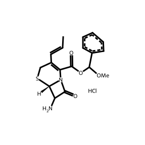 CC=CC1=C(C(=O)OC(OC)c2ccccc2)N2C(=O)C(N)[C@@H]2SC1.Cl